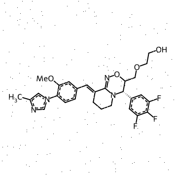 COc1cc(/C=C2\CCCN3C2=NOC(COCCO)[C@@H]3c2cc(F)c(F)c(F)c2)ccc1-n1cnc(C)c1